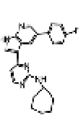 Fc1ccc(-c2cnc3[nH]cc(-c4ccnc(NC5CCCCCC5)n4)c3c2)cc1